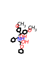 COc1ccc(C(O)(C[C@H](NC[C@H](O)COc2ccccc2)c2ccccc2)c2ccc(OC)cc2)cc1